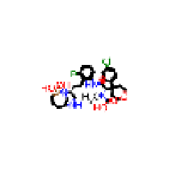 CN(C(=O)O)[C@H](C(=O)Nc1cccc(F)c1CC[C@H]1CNC2CCCS(O)(O)N1C2)C1(c2ccc(Cl)cc2)CCOCC1